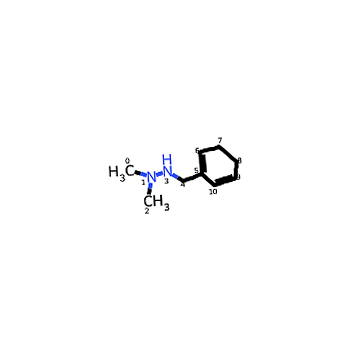 CN(C)NCC1=CCCC=C1